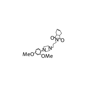 COc1ccc(N2CCN(CCCN3C(=O)C4CC=CCC4C3=O)CC2)c(OC)c1